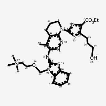 CCOC(=O)c1nc(N2CCCc3c2nnc(/N=c2\sc4ccccc4n2COCC[Si](C)(C)C)c3C)sc1CCCO